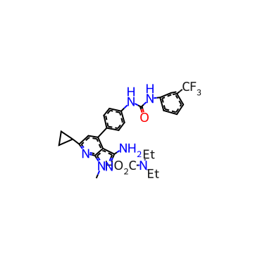 CCN(CC)C(=O)O.Cn1nc(N)c2c(-c3ccc(NC(=O)Nc4cccc(C(F)(F)F)c4)cc3)cc(C3CC3)nc21